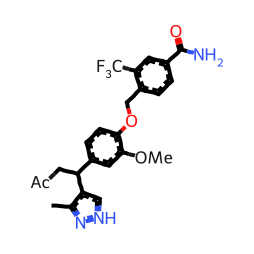 COc1cc(C(CC(C)=O)c2c[nH]nc2C)ccc1OCc1ccc(C(N)=O)cc1C(F)(F)F